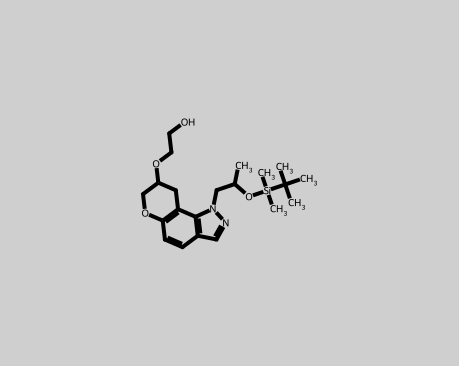 CC(Cn1ncc2ccc3c(c21)CC(OCCO)CO3)O[Si](C)(C)C(C)(C)C